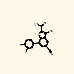 Cc1c(C(N)=O)[nH]c2c(-c3ccc(F)c(F)c3)cc(C#N)cc12